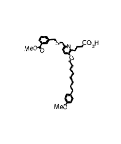 COC(=O)c1cccc(CSCc2ccc(OCCCCCCCCc3ccc(OC)cc3)c(CCCC(=O)O)n2)c1